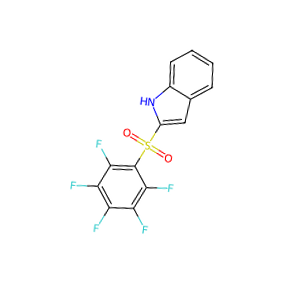 O=S(=O)(c1cc2ccccc2[nH]1)c1c(F)c(F)c(F)c(F)c1F